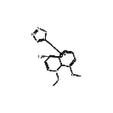 COC1=CC=C2SC(c3nnn[nH]3)=C(N)C23CC=CN(OC)C13